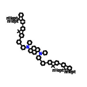 CCCCCCCC1(CCCCCCC)c2ccccc2-c2ccc(-c3ccc4c(c3)C(C)(C)c3cc(-c5cccc(-c6cccc(N(c7ccccc7)c7ccc8ccc9c(N(c%10ccccc%10)c%10cccc(-c%11cccc(-c%12ccc%13c(c%12)C(C)(C)c%12cc(-c%14ccc%15c(c%14)C(CCCCCCC)(CCCCCCC)c%14ccccc%14-%15)ccc%12-%13)c%11)c%10)ccc%10ccc7c8c%109)c6)c5)ccc3-4)cc21